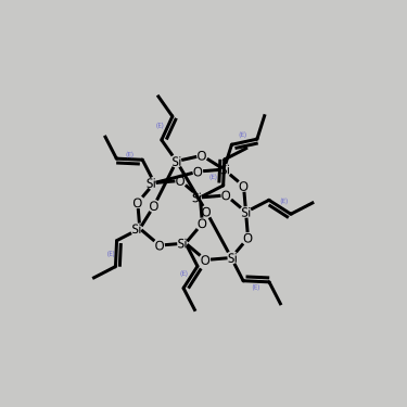 C/C=C/[Si]12O[Si]3(/C=C/C)O[Si]4(/C=C/C)O[Si](/C=C/C)(O1)O[Si]1(/C=C/C)O[Si](/C=C/C)(O2)O[Si](/C=C/C)(O3)O[Si](/C=C/C)(O4)O1